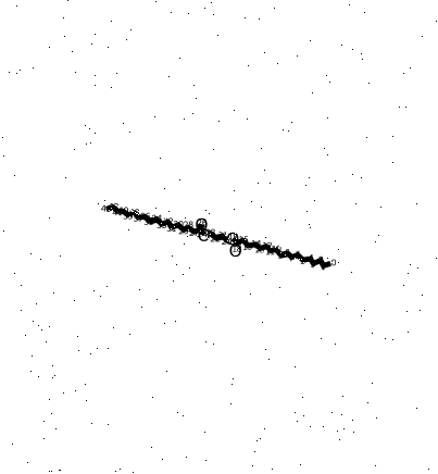 CCCCCCCCC=CCCCCCCCC(=O)OCC=CCOC(=O)CCCCCCCC=CCCCCCCCC